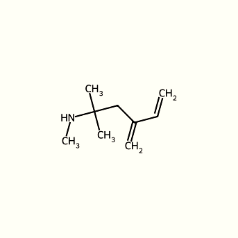 C=CC(=C)CC(C)(C)NC